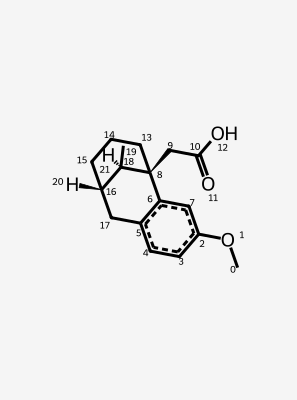 COc1ccc2c(c1)[C@@]1(CC(=O)O)CCC[C@@H](C2)[C@H]1C